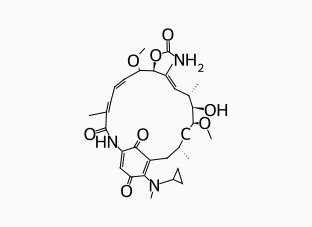 CO[C@H]1/C=C\C=C(/C)C(=O)NC2=CC(=O)C(N(C)C3CC3)=C(C[C@@H](C)C[C@H](OC)[C@H](O)[C@@H](C)/C=C(\C)[C@@H]1OC(N)=O)C2=O